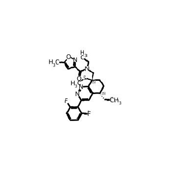 CC[C@H]1CC[C@@](CN(CC)C(=O)c2cc(C)on2)(SC)c2nnc(-c3c(F)cccc3F)cc21